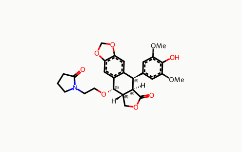 COc1cc([C@@H]2c3cc4c(cc3[C@@H](OCCN3CCCC3=O)[C@H]3COC(=O)[C@H]23)OCO4)cc(OC)c1O